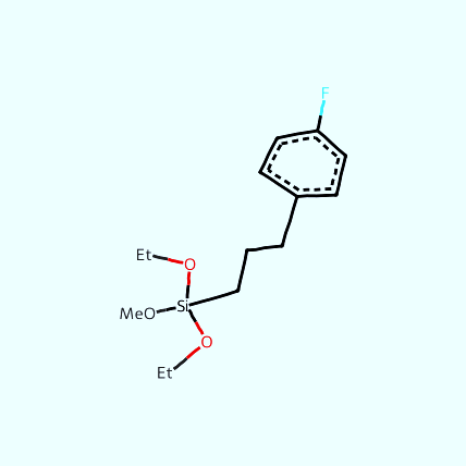 CCO[Si](CCCc1ccc(F)cc1)(OC)OCC